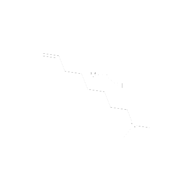 C=CCCCCCCN(C)C.CO[SiH3]